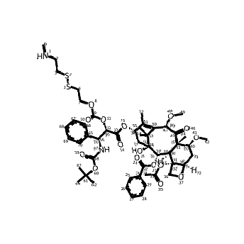 CNCCSSCCOC(=O)O[C@@H](C(=O)O[C@H]1C[C@@]2(O)[C@@H](OC(=O)c3ccccc3)[C@@H]3[C@]4(OC(C)=O)CO[C@@H]4C[C@H](OC)[C@@]3(C)C(=O)[C@H](OC)C(=C1C)C2(C)C)[C@@H](NC(=O)OC(C)(C)C)c1ccccc1